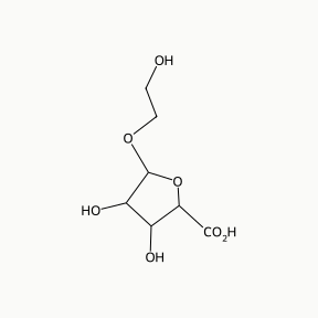 O=C(O)C1OC(OCCO)C(O)C1O